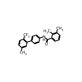 Cc1ccc(C(F)(F)F)c(-c2ccc(NC(=O)c3cccc(C)c3C)cc2)c1